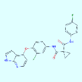 O=C(Nc1ccc(F)cc1)C1(C(=O)Nc2ccc(Oc3ccnc4[nH]ccc34)c(F)c2)CC1